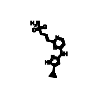 NS(=O)(=O)CC=Cc1nccc(Nc2cc(C3CC3)[nH]n2)n1